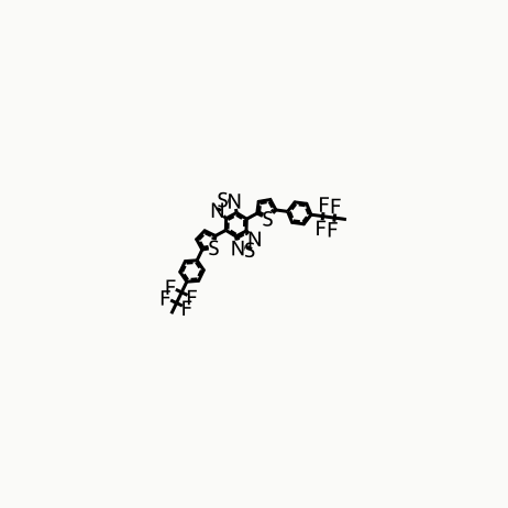 CC(F)(F)C(F)(F)c1ccc(-c2ccc(-c3c4c(c(-c5ccc(-c6ccc(C(F)(F)C(C)(F)F)cc6)s5)c5nsnc35)N=S=N4)s2)cc1